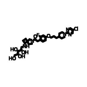 O=C(Cc1ccc(OCCCC2CCN(c3ncc(Cl)cn3)CC2)cc1F)N1CCC2(CCC2NC[C@H](O)[C@H](O)[C@H](O)CO)C1